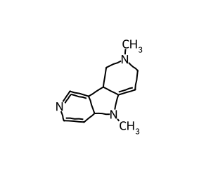 CN1CC=C2C(C1)C1=C=NC=CC1N2C